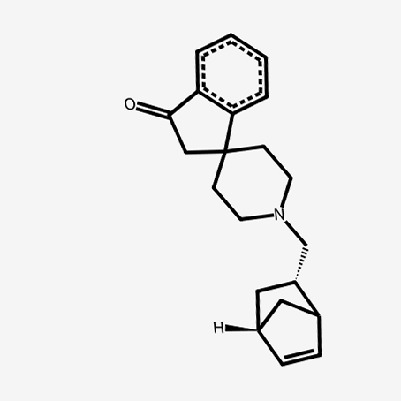 O=C1CC2(CCN(C[C@H]3C[C@H]4C=CC3C4)CC2)c2ccccc21